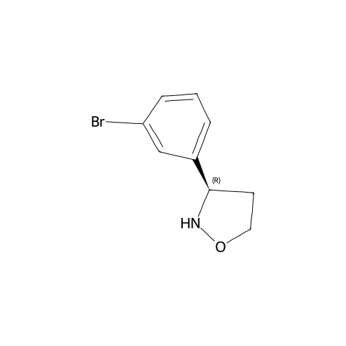 Brc1cccc([C@H]2CCON2)c1